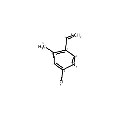 C=Cc1cnc(Cl)cc1C